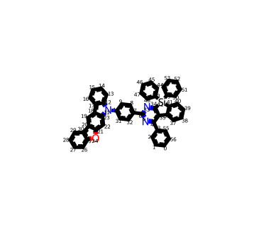 c1ccc(-c2nc(-c3ccc(-n4c5ccccc5c5cc6c(cc54)oc4ccccc46)cc3)nc3c2-c2ccccc2[Si]3(c2ccccc2)c2ccccc2)cc1